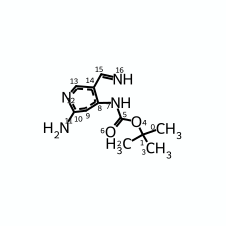 CC(C)(C)OC(=O)Nc1cc(N)ncc1C=N